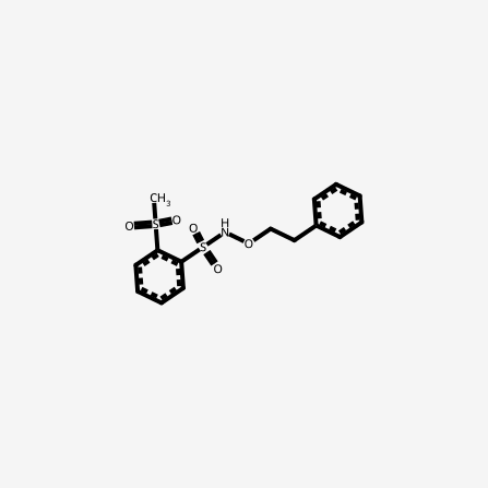 CS(=O)(=O)c1ccccc1S(=O)(=O)NOCCc1ccccc1